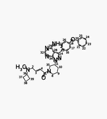 CN(C/C=C/C(=O)N1CCC[C@@H](n2nc(-c3ccc(Oc4ccccc4)cc3)c3c(N)ncnc32)C1)C1CCC1